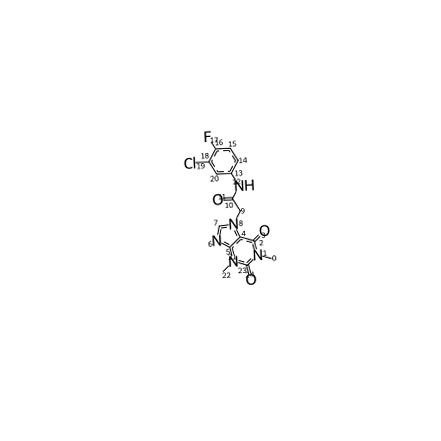 Cn1c(=O)c2c(ncn2CC(=O)Nc2ccc(F)c(Cl)c2)n(C)c1=O